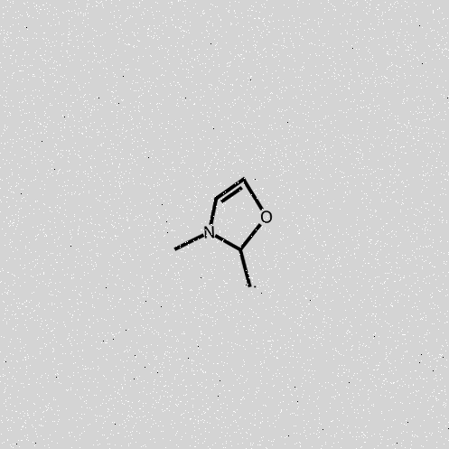 [CH2]C1OC=CN1C